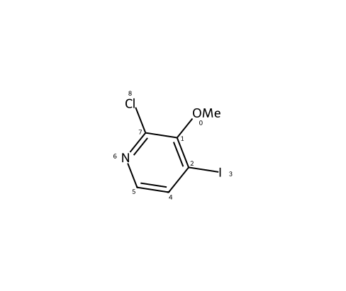 COc1c(I)ccnc1Cl